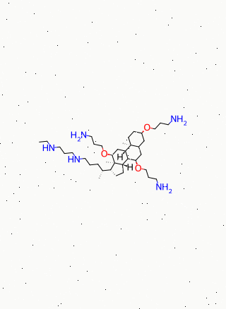 CCNCCCNCCC[C@@H](C)[C@H]1CC[C@H]2C3[C@H](OCCCN)CC4C[C@H](OCCCN)CC[C@]4(C)[C@H]3C[C@H](OCCCN)[C@]12C